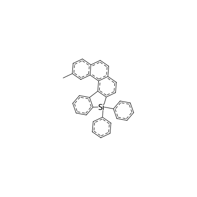 Cc1ccc2ccc3ccc4c(c3c2c1)-c1ccccc1[Si]4(c1ccccc1)c1ccccc1